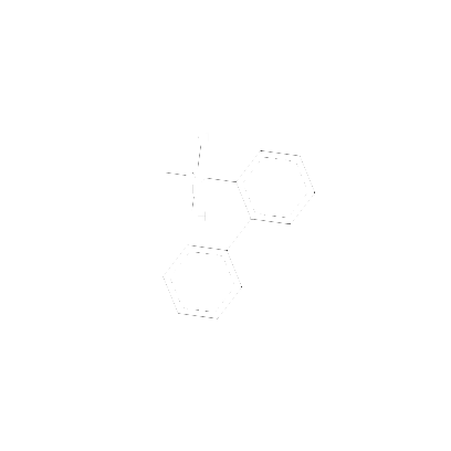 C[AsH](C)(C)c1ccccc1-c1ccccc1